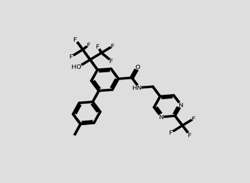 Cc1ccc(-c2cc(C(=O)NCc3cnc(C(F)(F)F)nc3)cc(C(O)(C(F)(F)F)C(F)(F)F)c2)cc1